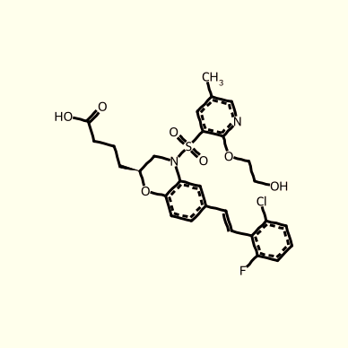 Cc1cnc(OCCO)c(S(=O)(=O)N2C[C@H](CCCC(=O)O)Oc3ccc(/C=C/c4c(F)cccc4Cl)cc32)c1